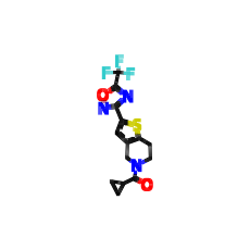 O=C(C1CC1)N1CCc2sc(-c3noc(C(F)(F)F)n3)cc2C1